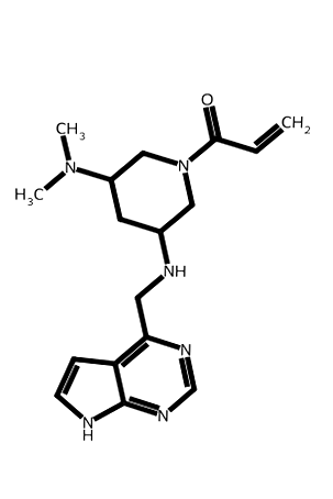 C=CC(=O)N1CC(NCc2ncnc3[nH]ccc23)CC(N(C)C)C1